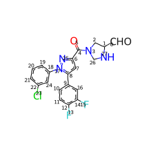 O=CC1CN(C(=O)c2cc(-c3ccc(F)c(F)c3)n(-c3cccc(Cl)c3)n2)CN1